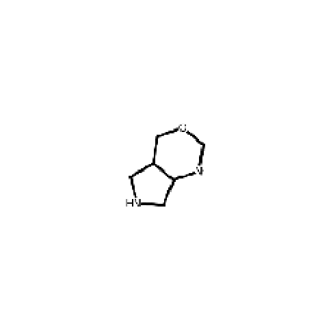 C1[N]C2CNCC2CO1